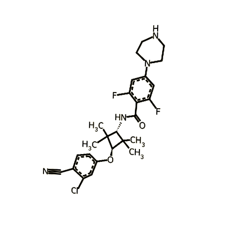 CC1(C)[C@H](NC(=O)c2c(F)cc(N3CCNCC3)cc2F)C(C)(C)[C@H]1Oc1ccc(C#N)c(Cl)c1